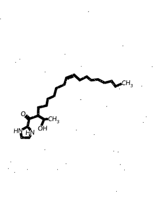 CCCCCCCC/C=C\CCCCCCC(C(=O)C1NCCN1)C(C)O